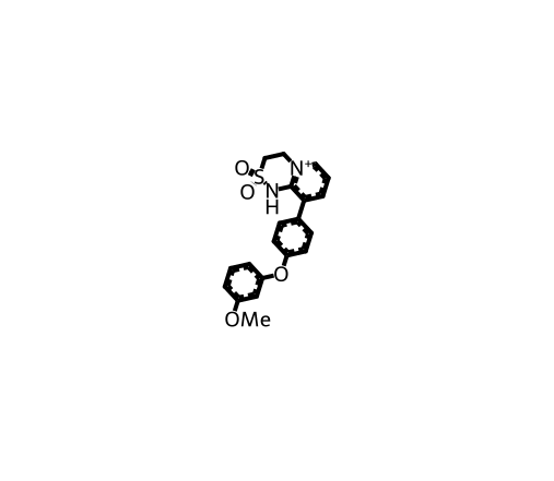 COc1cccc(Oc2ccc(-c3ccc[n+]4c3NS(=O)(=O)CC4)cc2)c1